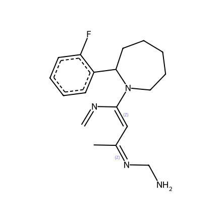 C=N/C(=C\C(C)=N/CN)N1CCCCCC1c1ccccc1F